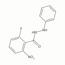 O=C(NNc1ccccc1)c1c(F)cccc1[N+](=O)[O-]